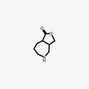 O=C1OCC2CNCCCC12